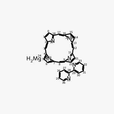 C1=Cc2cc3ccc(cc4nc(cc5ccc(cc1n2)[nH]5)C=C4)[nH]3.[MgH2].c1ccc(-c2ccccn2)nc1